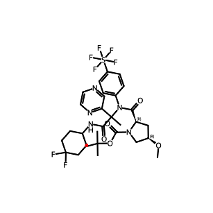 CO[C@@H]1C[C@H](C(=O)N(c2ccc(S(F)(F)(F)(F)F)cc2)C(C)(C(=O)NC2CCC(F)(F)CC2)c2cnccn2)N(C(=O)OC(C)(C)C)C1